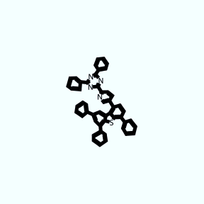 c1ccc(-c2cc(-c3ccccc3)c3sc4c(-c5ccccc5)ccc(-c5ccc(-c6nc(-c7ccccc7)nc(-c7ccccc7)n6)nc5)c4c3c2)cc1